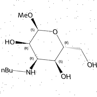 CCCCN[C@H]1[C@@H](O)[C@@H](OC)O[C@H](CO)[C@H]1O